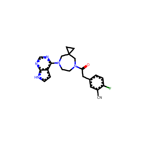 N#Cc1cc(CC(=O)N2CCN(c3ncnc4[nH]ccc34)CC3(CC3)C2)ccc1F